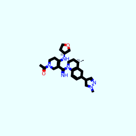 CC(=O)N1CCC(N[C@H]2CCOC2)=C(C(=N)N2CC[C@H](C)C3=C2C=CC(C2C=NN(C)C2)C3)C1